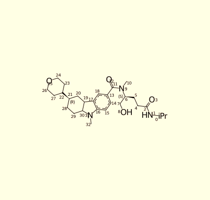 CC(C)NC(=O)CC[C@@H](CO)N(C)C(=O)c1ccc2c(c1)C1C[C@H](C3CCOCC3)CCC1N2C